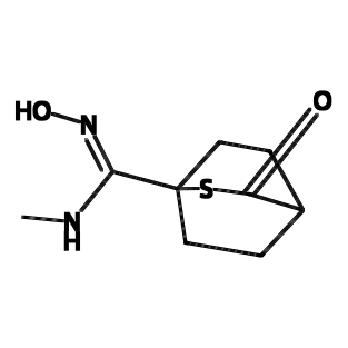 CNC(=NO)C12CCC(CC1)C(=O)S2